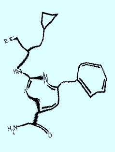 CCC(CC1CC1)Nc1nc(C(N)=O)cc(-c2ccccc2)n1